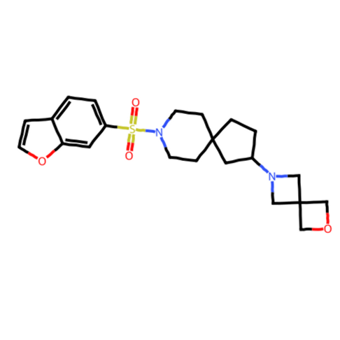 O=S(=O)(c1ccc2ccoc2c1)N1CCC2(CCC(N3CC4(COC4)C3)C2)CC1